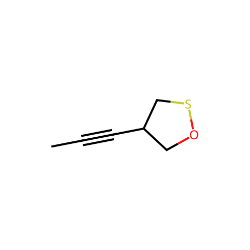 CC#CC1COSC1